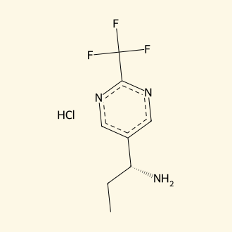 CC[C@@H](N)c1cnc(C(F)(F)F)nc1.Cl